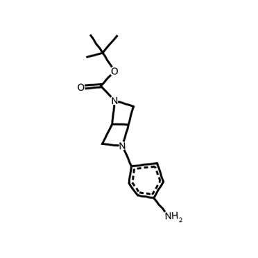 CC(C)(C)OC(=O)N1CC2C1CN2c1ccc(N)cc1